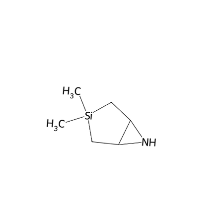 C[Si]1(C)CC2NC2C1